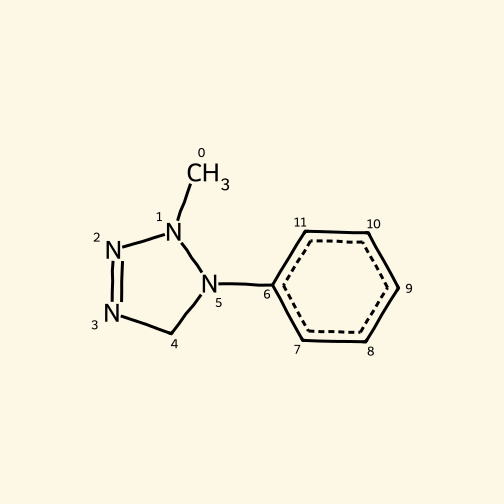 CN1N=NCN1c1ccccc1